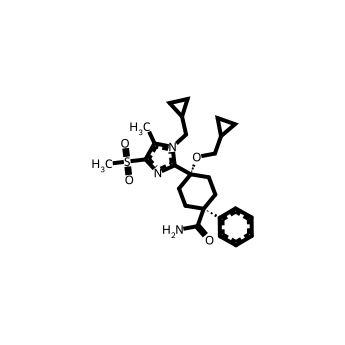 Cc1c(S(C)(=O)=O)nc([C@]2(OCC3CC3)CC[C@@](C(N)=O)(c3ccccc3)CC2)n1CC1CC1